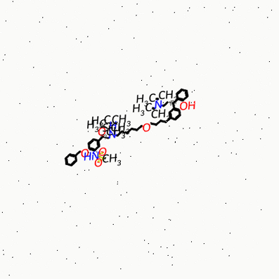 CC(C)N(CC[C@H](c1ccccc1)c1cc(CCCCOCCCCCCNC[C@H](O[Si](C)(C)C(C)(C)C)c2ccc(OCc3ccccc3)c(NS(C)(=O)=O)c2)ccc1O)C(C)C